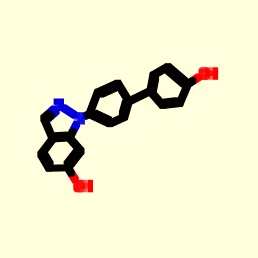 Oc1ccc(-c2ccc(-n3ncc4ccc(O)cc43)cc2)cc1